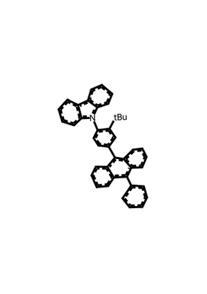 CC(C)(C)c1cc(-c2c3ccccc3c(-c3ccccc3)c3ccccc23)ccc1-n1c2ccccc2c2ccccc21